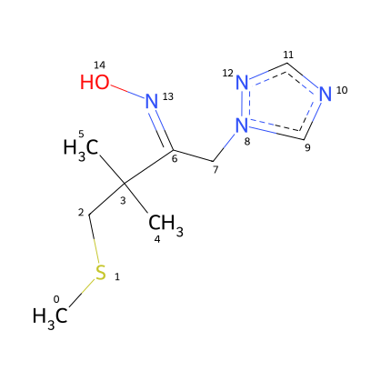 CSCC(C)(C)C(Cn1cncn1)=NO